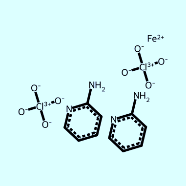 Nc1ccccn1.Nc1ccccn1.[Fe+2].[O-][Cl+3]([O-])([O-])[O-].[O-][Cl+3]([O-])([O-])[O-]